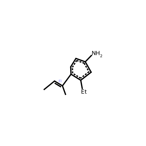 C/C=C(\C)c1ccc(N)cc1CC